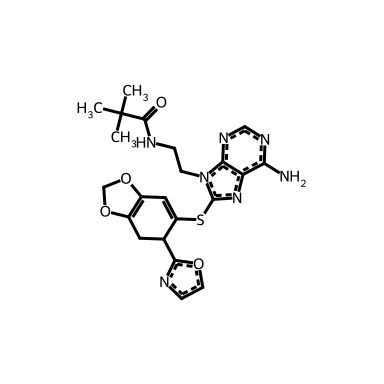 CC(C)(C)C(=O)NCCn1c(SC2=CC3=C(CC2c2ncco2)OCO3)nc2c(N)ncnc21